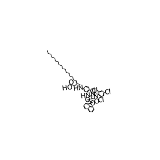 CCCCCCCCCCCCCCCC/C=C(/CNc1ccc(Cl)c(NC2=NN(c3c(Cl)cc(Cl)cc3Cl)C(=O)C2S(=O)(=O)c2cccc3ccccc23)c1)CC(=O)O